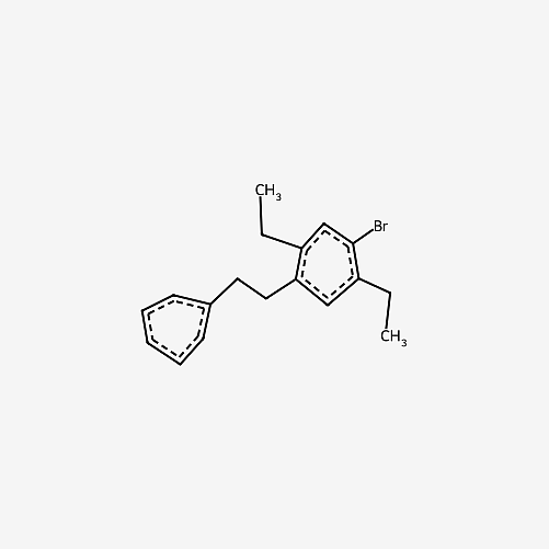 CCc1cc(CCc2ccccc2)c(CC)cc1Br